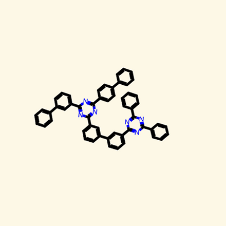 c1ccc(-c2ccc(-c3nc(-c4cccc(-c5ccccc5)c4)nc(-c4cccc(-c5cccc(-c6nc(-c7ccccc7)nc(-c7ccccc7)n6)c5)c4)n3)cc2)cc1